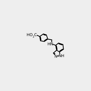 O=C(O)c1ccc(CNc2cccc3[nH]ncc23)cc1